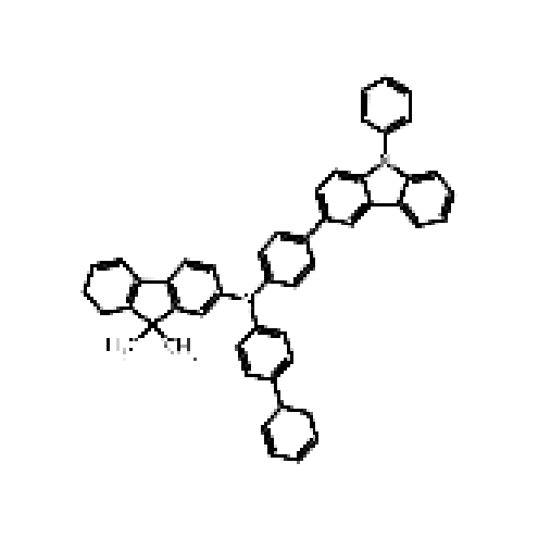 CC1(C)C2=C(C=CCC2)c2ccc(N(c3ccc(-c4ccc5c(c4)c4ccccc4n5-c4ccccc4)cc3)c3ccc(C4C=CC=CC4)cc3)cc21